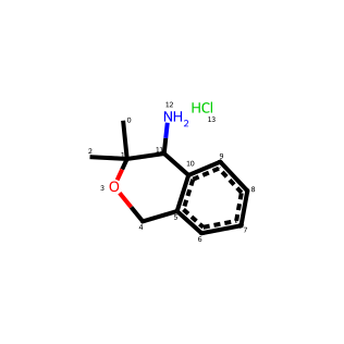 CC1(C)OCc2ccccc2C1N.Cl